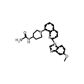 COc1ccc2c(c1)ncn2-c1ccc2cccc(N3CCC(NC(N)=O)CC3)c2n1